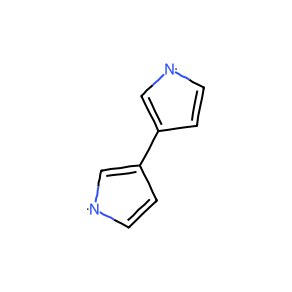 C1=CC(C2=C[N]C=C2)=C[N]1